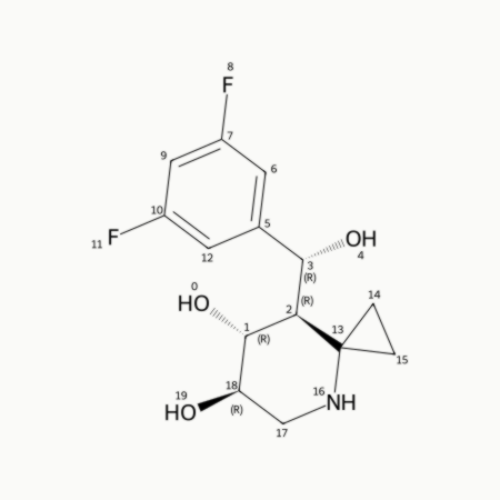 O[C@@H]1[C@@H]([C@@H](O)c2cc(F)cc(F)c2)C2(CC2)NC[C@H]1O